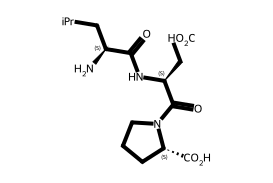 CC(C)C[C@H](N)C(=O)N[C@@H](CC(=O)O)C(=O)N1CCC[C@H]1C(=O)O